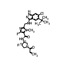 C=CC(=O)N1C[C@H](NC(=O)c2c(F)nc(CNc3n[nH]c4cc(Cl)c(C(C)(C)C)cc34)n2C)[C@@H](F)C1